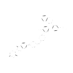 Cc1cccc(C2COc3cc(O)ccc3[C@H]2c2cc(F)c(N3CCC(CN4CCN(c5ccc6c(c5)CN([C@H]5CCC(=O)NC5=O)C6=O)CC4)CC3)c(F)c2)c1